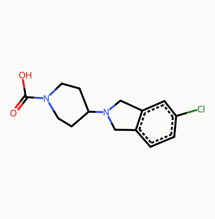 O=C(O)N1CCC(N2Cc3ccc(Cl)cc3C2)CC1